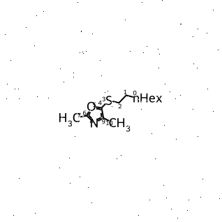 CCCCCCCCSc1oc(C)nc1C